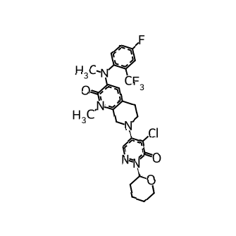 CN(c1ccc(F)cc1C(F)(F)F)c1cc2c(n(C)c1=O)CN(c1cnn(C3CCCCO3)c(=O)c1Cl)CC2